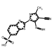 Cc1nn(-c2nc3ccc(S(=O)(=O)O)cc3s2)c(N=N)c1C#N